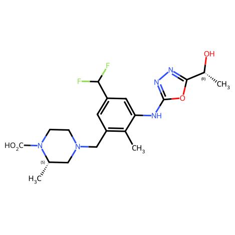 Cc1c(CN2CCN(C(=O)O)[C@@H](C)C2)cc(C(F)F)cc1Nc1nnc([C@@H](C)O)o1